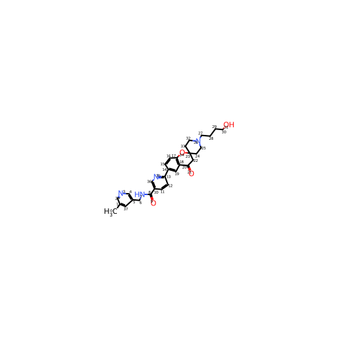 Cc1cncc(CNC(=O)c2ccc(-c3ccc4c(c3)C(=O)CC3(CCN(CCCCO)CC3)O4)nc2)c1